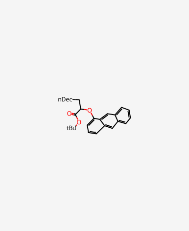 CCCCCCCCCCCC(Oc1cccc2cc3ccccc3cc12)C(=O)OC(C)(C)C